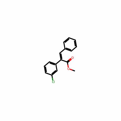 COC(=O)/C(=C\c1ccccc1)c1cccc(Cl)c1